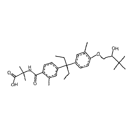 CCC(CC)(c1ccc(OCC(O)C(C)(C)C)c(C)c1)c1ccc(C(=O)NC(C)(C)C(=O)O)c(C)c1